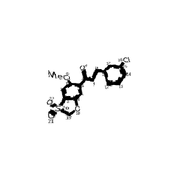 COc1cc2c(cc1C(=O)C=Cc1cccc(Cl)c1)OCS2(=O)=O